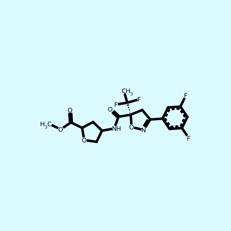 COC(=O)C1CC(NC(=O)[C@@]2(C(C)(F)F)CC(c3cc(F)cc(F)c3)=NO2)CO1